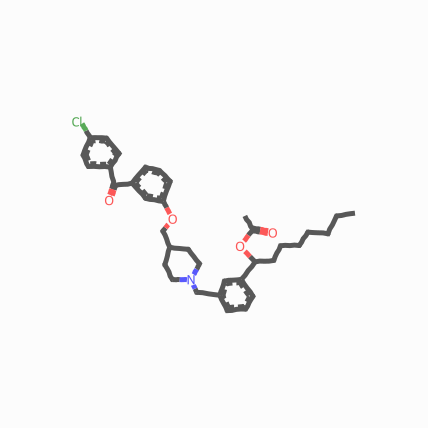 CCCCCCCC(OC(C)=O)c1cccc(CN2CCC(COc3cccc(C(=O)c4ccc(Cl)cc4)c3)CC2)c1